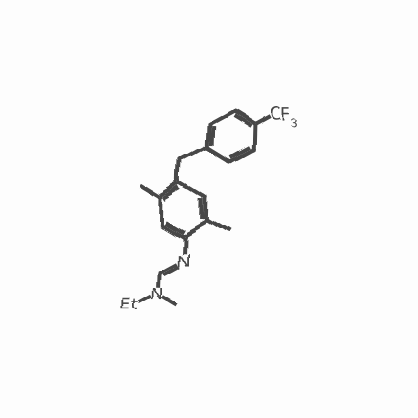 CCN(C)C=Nc1cc(C)c(Cc2ccc(C(F)(F)F)cc2)cc1C